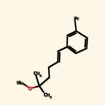 CC(C)c1cccc(/C=C/CCC(C)(C)OC(C)(C)C)c1